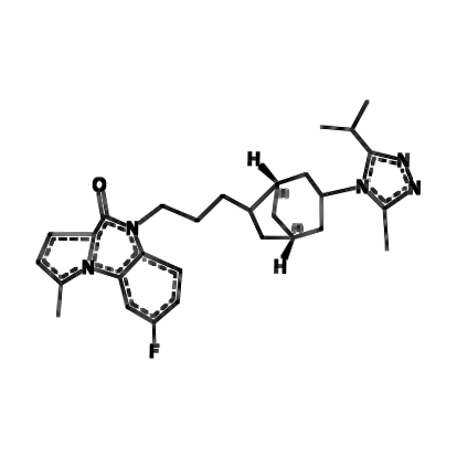 Cc1nnc(C(C)C)n1C1C[C@@H]2CC(CCCn3c(=O)c4ccc(C)n4c4cc(F)ccc43)[C@H](C1)C2